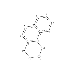 c1ccc2c3c(ccc2c1)CCOC3